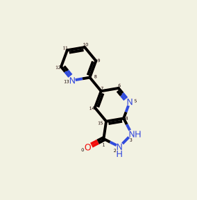 O=c1[nH][nH]c2ncc(-c3ccccn3)cc12